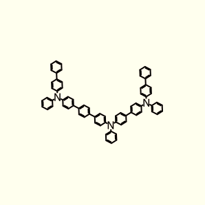 c1ccc(-c2ccc(N(c3ccccc3)c3ccc(-c4ccc(-c5ccc(N(c6ccccc6)c6ccc(-c7ccc(N(c8ccccc8)c8ccc(-c9ccccc9)cc8)cc7)cc6)cc5)cc4)cc3)cc2)cc1